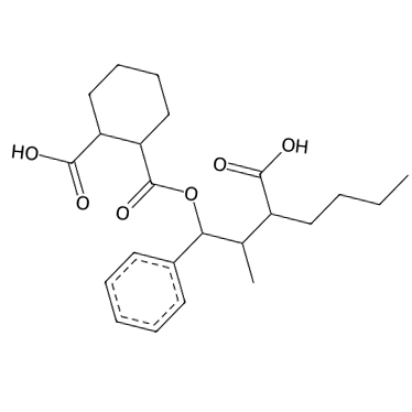 CCCCC(C(=O)O)C(C)C(OC(=O)C1CCCCC1C(=O)O)c1ccccc1